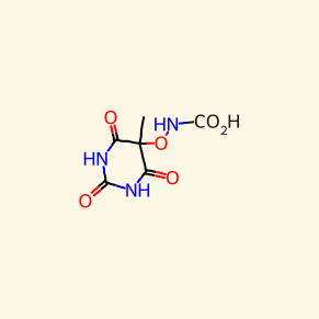 CC1(ONC(=O)O)C(=O)NC(=O)NC1=O